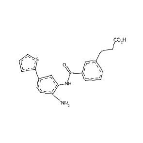 Nc1ccc(-c2cccs2)cc1NC(=O)c1cccc(CCC(=O)O)c1